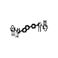 c1cc(-c2cnc([C@@H]3COCCN3)[nH]2)ccc1-c1ccc2cc(-c3c[nH]c([C@@H]4COCCN4)n3)ccc2c1